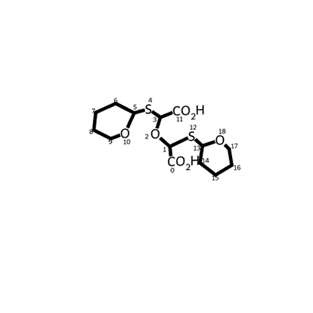 O=C(O)C(OC(SC1CCCCO1)C(=O)O)SC1CCCCO1